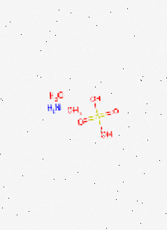 N.O.O.O=S(=O)(O)O